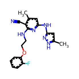 Cc1cc(Nc2cc(C)c(C#N)c(NCCOc3ccccc3F)n2)n[nH]1